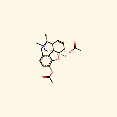 CC(=O)Oc1ccc2c3c1O[C@@H]1[C@@H](OC(C)=O)C=CC4[C@H](C2)N(C)CC[C@]341